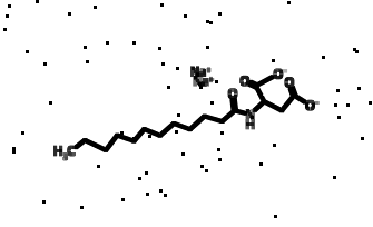 CCCCCCCCCCCC(=O)NC(CC(=O)[O-])C(=O)[O-].[Na+].[Na+]